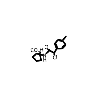 Cc1ccc(C(Cl)C(=O)NC2(C(=O)O)CCCC2)cc1